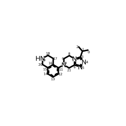 CC(C)c1nnc2n1CCN(c1cccc3c1CCNC3)C2